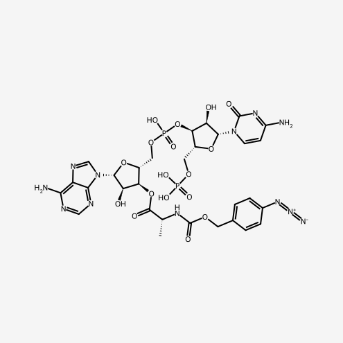 C[C@@H](NC(=O)OCc1ccc(N=[N+]=[N-])cc1)C(=O)O[C@H]1[C@@H](O)[C@H](n2cnc3c(N)ncnc32)O[C@@H]1COP(=O)(O)O[C@H]1[C@@H](O)[C@H](n2ccc(N)nc2=O)O[C@@H]1COP(=O)(O)O